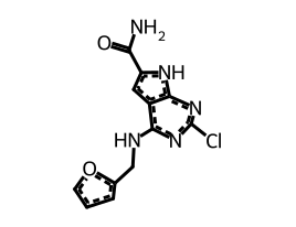 NC(=O)c1cc2c(NCc3ccco3)nc(Cl)nc2[nH]1